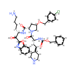 NCCCC[C@H](NC(=O)[C@@H]1C[C@@H](OCc2ccc(Cl)cc2)CN1C(=O)[C@@H](CC=C1CCNCC1)NC(=O)OCc1ccccc1)C(=O)c1nc2ccccc2o1